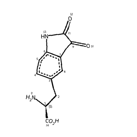 N[C@@H](Cc1ccc2c(c1)C(=O)C(=O)N2)C(=O)O